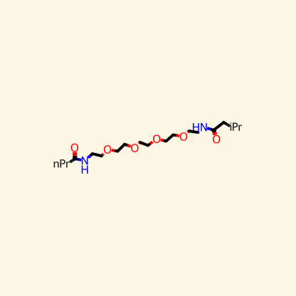 CCCC(=O)NCCOCCOCCOCCOCCNC(=O)CC(C)C